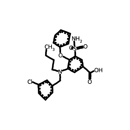 CCCCN(Cc1cccc(Cl)c1)c1cc(C(=O)O)cc(S(N)(=O)=O)c1Oc1ccccc1